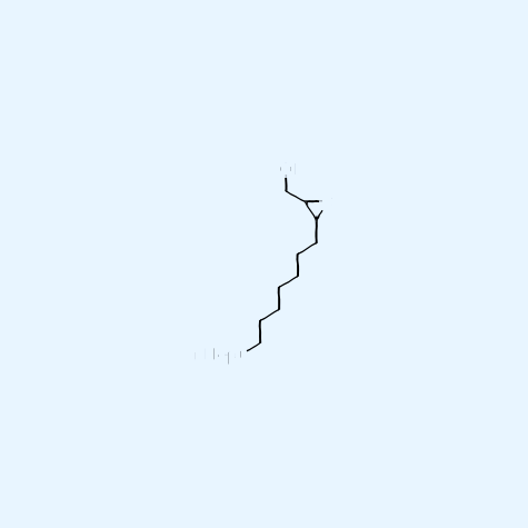 CCCCCCCCCCCCCCC1OC1CO